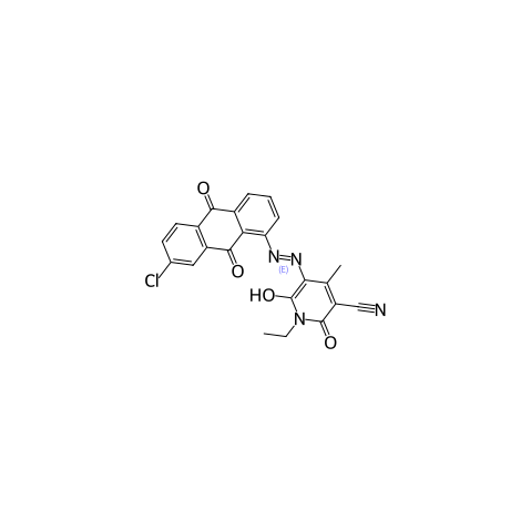 CCn1c(O)c(/N=N/c2cccc3c2C(=O)c2cc(Cl)ccc2C3=O)c(C)c(C#N)c1=O